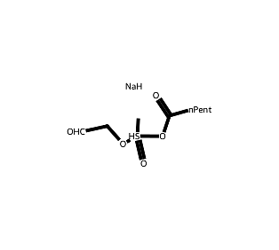 CCCCCC(=O)O[SH](C)(=O)OCC=O.[NaH]